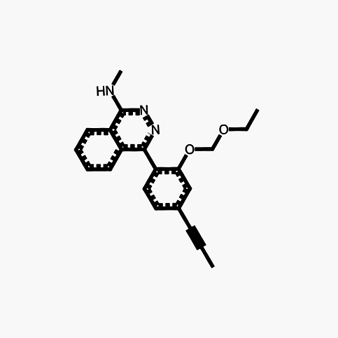 CC#Cc1ccc(-c2nnc(NC)c3ccccc23)c(OCOCC)c1